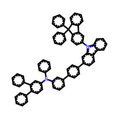 c1ccc(-c2ccc(N(c3ccccc3)c3cccc(-c4ccc(-c5ccc6c7ccccc7n(-c7ccc8c(c7)-c7ccccc7C8(c7ccccc7)c7ccccc7)c6c5)cc4)c3)cc2-c2ccccc2)cc1